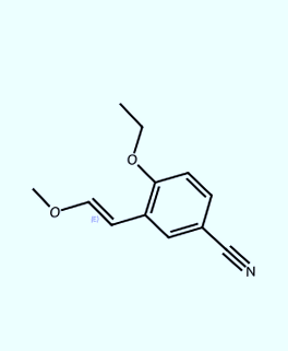 CCOc1ccc(C#N)cc1/C=C/OC